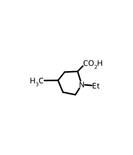 CCN1CCC(C)CC1C(=O)O